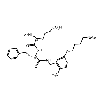 CNCCCCOc1ccc(C)c(CNC(=O)[C@H](CCc2ccccc2)NC(=O)[C@H](CCCC(=O)O)NC(C)=O)c1